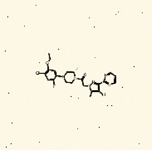 CCOc1cc(N2CCN(C(=O)Cn3nc(-c4ncccn4)c(Cl)c3C)[C@@H](C)C2)c(F)cc1Cl